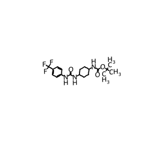 CC(C)(C)OC(=O)NC1CCC(NC(=O)Nc2ccc(C(F)(F)F)cc2)CC1